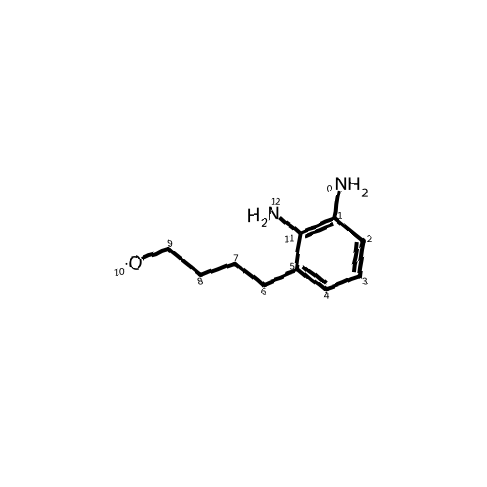 Nc1cccc(CCCC[O])c1N